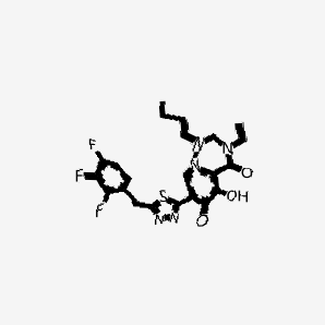 CCCCN1CN(CC)C(=O)c2c(O)c(=O)c(-c3nnc(Cc4ccc(F)c(F)c4F)s3)cn21